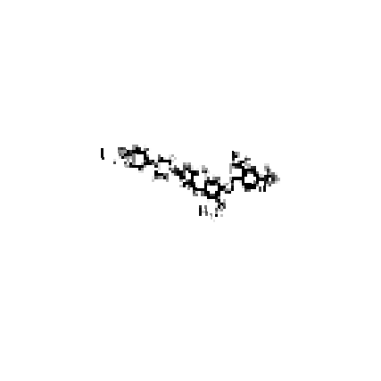 COc1cc(C=C2SC(N3CCN(C4CCN(C)CC4)CC3)=NC2=O)ccc1OCc1ccc(C(F)(F)F)cc1C(F)(F)F